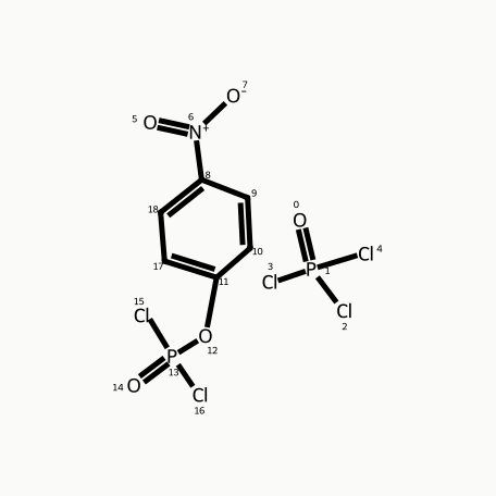 O=P(Cl)(Cl)Cl.O=[N+]([O-])c1ccc(OP(=O)(Cl)Cl)cc1